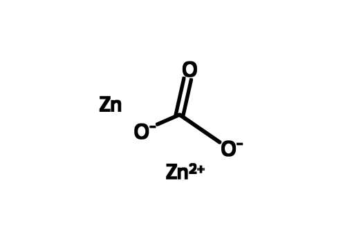 O=C([O-])[O-].[Zn+2].[Zn]